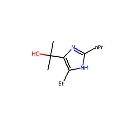 CCCc1nc(C(C)(C)O)c(CC)[nH]1